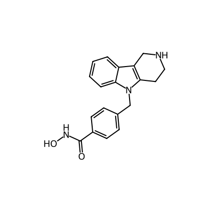 O=C(NO)c1ccc(Cn2c3c(c4ccccc42)CNCC3)cc1